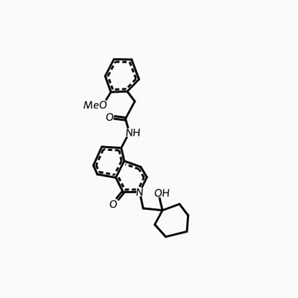 COc1ccccc1CC(=O)Nc1cccc2c(=O)n(CC3(O)CCCCC3)ccc12